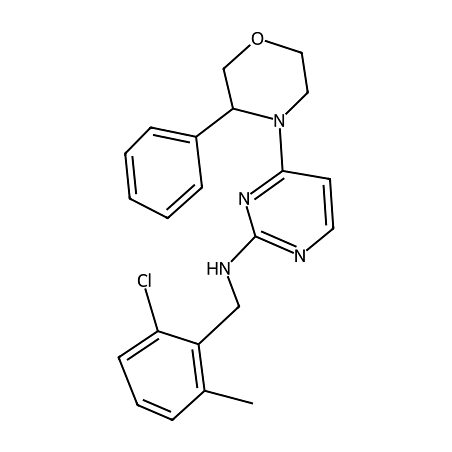 Cc1cccc(Cl)c1CNc1nccc(N2CCOCC2c2ccccc2)n1